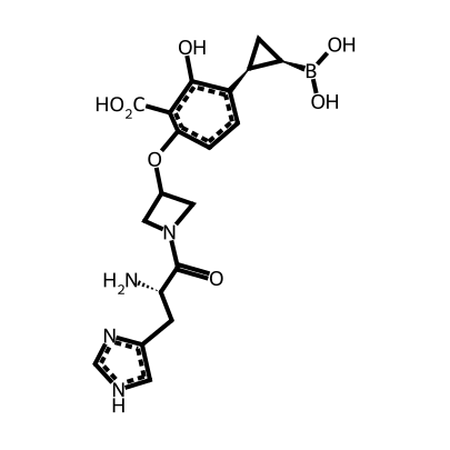 N[C@@H](Cc1c[nH]cn1)C(=O)N1CC(Oc2ccc([C@H]3C[C@H]3B(O)O)c(O)c2C(=O)O)C1